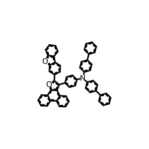 c1ccc(-c2ccc(N(c3ccc(-c4ccccc4)cc3)c3ccc(-c4c(-c5ccc6c(c5)oc5ccccc56)oc5c6ccccc6c6ccccc6c45)cc3)cc2)cc1